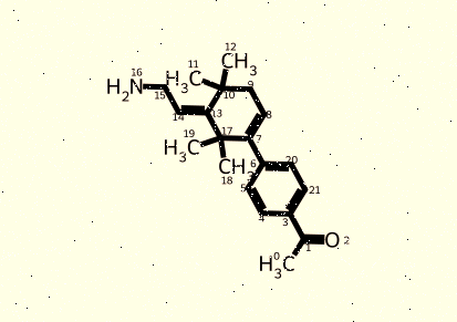 CC(=O)c1ccc(C2=CCC(C)(C)/C(=C\CN)C2(C)C)cc1